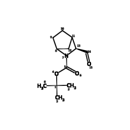 CC(C)(C)OC(=O)N1C2CCC(C2)[C@H]1C=O